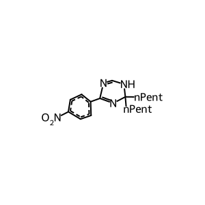 CCCCCC1(CCCCC)N=C(c2ccc([N+](=O)[O-])cc2)N=CN1